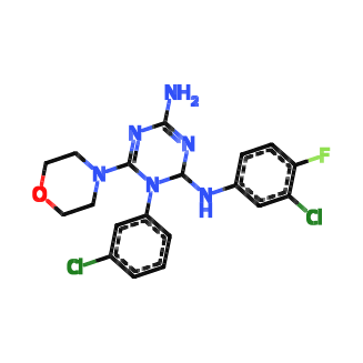 NC1=NC(Nc2ccc(F)c(Cl)c2)N(c2cccc(Cl)c2)C(N2CCOCC2)=N1